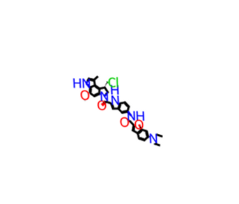 CCN(CC)c1ccc2cc(C(=O)Nc3ccc4[nH]c(C(=O)N5C[C@@H](CCl)c6c5cc(OC)c5[nH]cc(C)c65)cc4c3)oc2c1